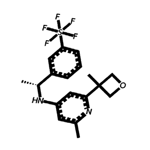 Cc1cc(N[C@H](C)c2cccc(S(F)(F)(F)(F)F)c2)cc(C2(C)COC2)n1